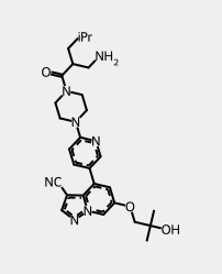 CC(C)CC(CN)C(=O)N1CCN(c2ccc(-c3cc(OCC(C)(C)O)cn4ncc(C#N)c34)cn2)CC1